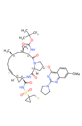 COc1ccc2c(O[C@@H]3C[C@H]4C(=O)N[C@]5(C(=O)NS(=O)(=O)C6(CF)CC6)C[C@H]5/C=C\CC[C@@H](C)C[C@@H](C)[C@H](NC(=O)OC(C)(C)C(F)(F)F)C(=O)N4C3)nc(N3CCCC3)nc2c1